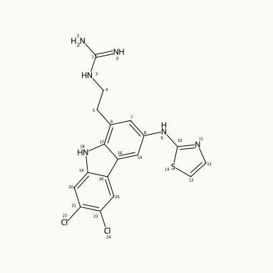 N=C(N)NCCc1cc(Nc2nccs2)cc2c1[nH]c1cc(Cl)c(Cl)cc12